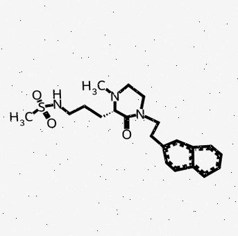 CN1CCN(CCc2ccc3ccccc3c2)C(=O)[C@@H]1CCCNS(C)(=O)=O